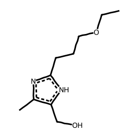 CCOCCCc1nc(C)c(CO)[nH]1